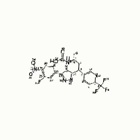 C[C@H](CC(c1ccc(C(F)(F)F)nc1)c1nnc(-c2ccc([N+](=O)[O-])c(F)c2)s1)NC(=O)O